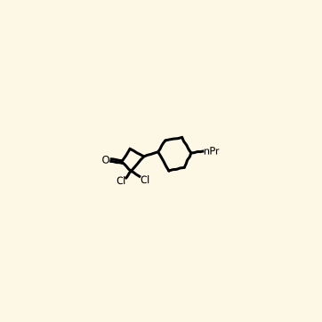 CCCC1CCC(C2CC(=O)C2(Cl)Cl)CC1